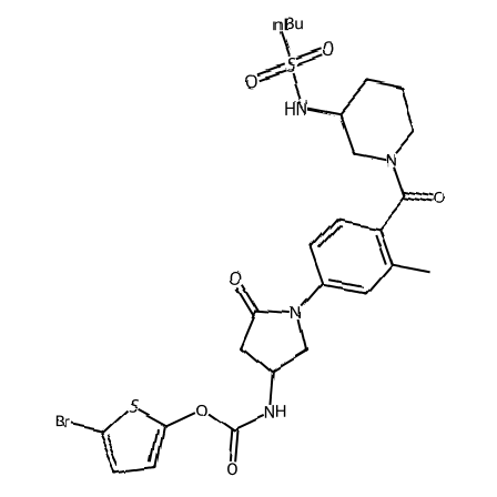 CCCCS(=O)(=O)NC1CCCN(C(=O)c2ccc(N3CC(NC(=O)Oc4ccc(Br)s4)CC3=O)cc2C)C1